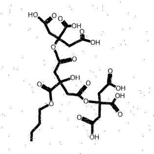 CCCCOC(=O)C(O)(CC(=O)OC(CC(=O)O)(CC(=O)O)C(=O)O)CC(=O)OC(CC(=O)O)(CC(=O)O)C(=O)O